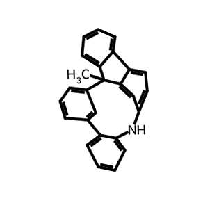 CC12c3cccc(c3)-c3ccccc3Nc3ccc(c1c3)-c1ccccc12